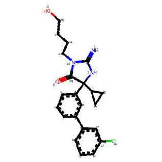 N=C1NC(c2cccc(-c3cccc(Cl)c3)c2)(C2CC2)C(=O)N1CCCCO